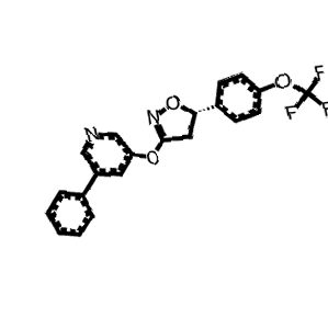 FC(F)(F)Oc1ccc([C@@H]2CC(Oc3cncc(-c4ccccc4)c3)=NO2)cc1